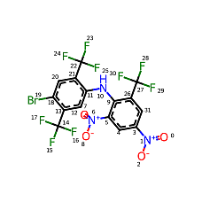 O=[N+]([O-])c1cc([N+](=O)[O-])c(Nc2cc(C(F)(F)F)c(Br)cc2C(F)(F)F)c(C(F)(F)F)c1